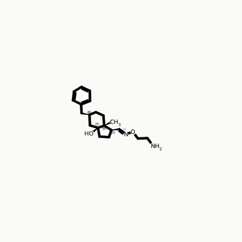 C[C@]12CC[C@H](Cc3ccccc3)C[C@@]1(O)CC[C@@H]2/C=N/OCCN